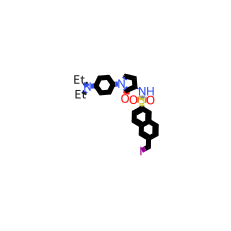 CCN(CC)C1CCC(N2CC[C@H](NS(=O)(=O)c3ccc4cc(CI)ccc4c3)C2=O)CC1